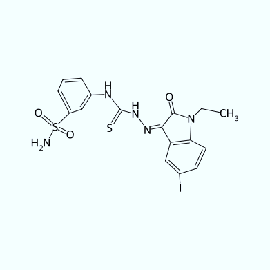 CCN1C(=O)C(=NNC(=S)Nc2cccc(S(N)(=O)=O)c2)c2cc(I)ccc21